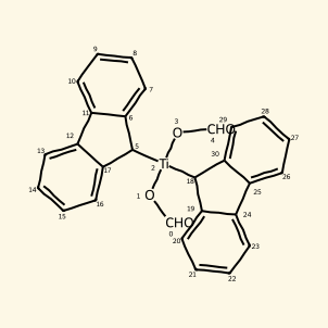 O=C[O][Ti]([O]C=O)([CH]1c2ccccc2-c2ccccc21)[CH]1c2ccccc2-c2ccccc21